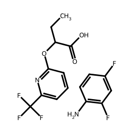 CCC(Oc1cccc(C(F)(F)F)n1)C(=O)O.Nc1ccc(F)cc1F